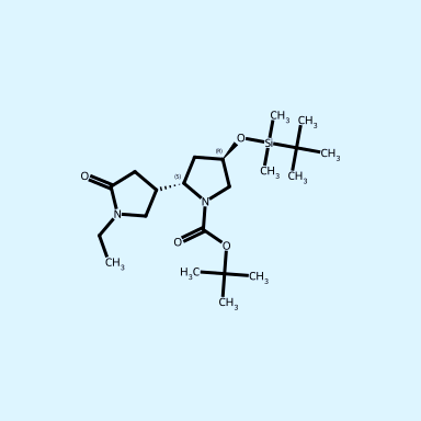 CCN1CC([C@@H]2C[C@@H](O[Si](C)(C)C(C)(C)C)CN2C(=O)OC(C)(C)C)CC1=O